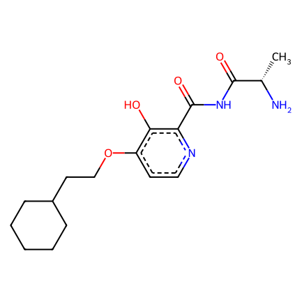 C[C@H](N)C(=O)NC(=O)c1nccc(OCCC2CCCCC2)c1O